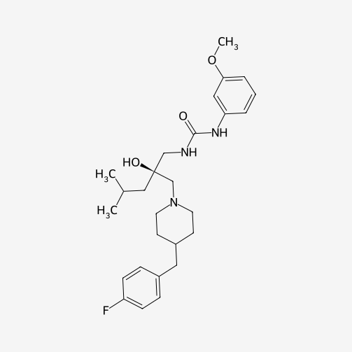 COc1cccc(NC(=O)NC[C@@](O)(CC(C)C)CN2CCC(Cc3ccc(F)cc3)CC2)c1